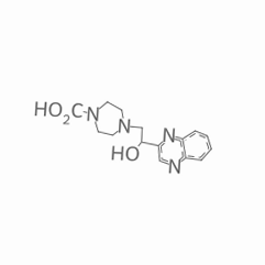 O=C(O)N1CCN(CC(O)c2cnc3ccccc3n2)CC1